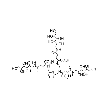 O=C(CCC(C(=O)O)N1CCN(C(CCC(=O)NCC(O)C(O)C(O)C(O)CO)C(=O)O)Cc2cccc(n2)CN(C(CCC(=O)NCC(O)C(O)C(O)C(O)CO)C(=O)O)CC1)NCC(O)C(O)C(O)C(O)CO